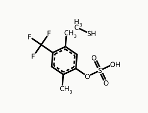 CS.Cc1cc(C(F)(F)F)c(C)cc1OS(=O)(=O)O